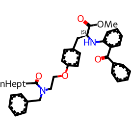 CCCCCCCC(=O)N(CCOc1ccc(C[C@H](Nc2ccccc2C(=O)c2ccccc2)C(=O)OC)cc1)Cc1ccccc1